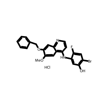 COc1cc2c(Nc3cc(O)c(Br)cc3F)ccnc2cc1OCc1ccccc1.Cl